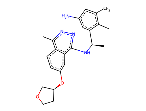 Cc1c([C@@H](C)Nc2nnc(C)c3ccc(O[C@H]4CCOC4)cc23)cc(N)cc1C(F)(F)F